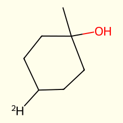 [2H]C1CCC(C)(O)CC1